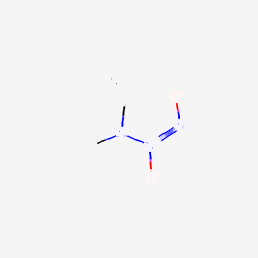 CN(C)/[N+]([O-])=N\[O-].[Na+]